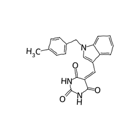 Cc1ccc(Cn2cc(C=C3C(=O)NC(=O)NC3=O)c3ccccc32)cc1